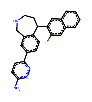 Nc1ccc(-c2ccc3c(c2)CNCCC3c2cc3ccccc3cc2F)nn1